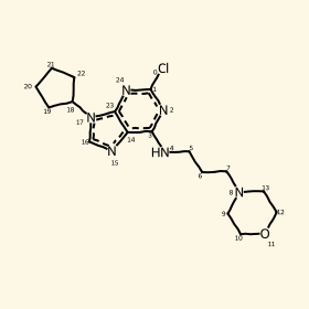 Clc1nc(NCCCN2CCOCC2)c2ncn(C3CCCC3)c2n1